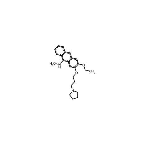 CCOc1cc2nc3ccccc3c(NC)c2cc1OCCCN1CCCC1